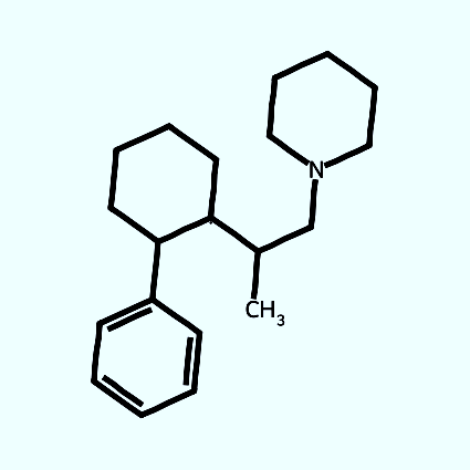 CC(CN1CCCCC1)[C]1CCCCC1c1ccccc1